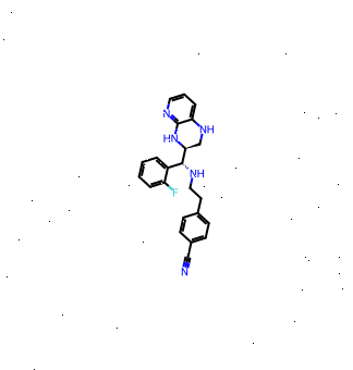 N#Cc1ccc(CCN[C@H](c2ccccc2F)[C@@H]2CNc3cccnc3N2)cc1